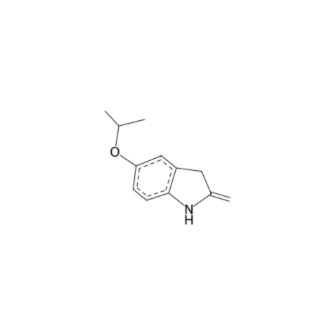 C=C1Cc2cc(OC(C)C)ccc2N1